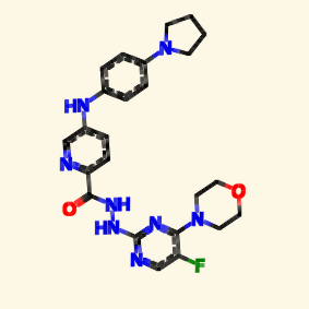 O=C(NNc1ncc(F)c(N2CCOCC2)n1)c1ccc(Nc2ccc(N3CCCC3)cc2)cn1